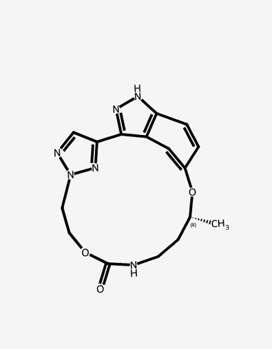 C[C@@H]1CCNC(=O)OCCn2ncc(n2)-c2n[nH]c3ccc(cc23)O1